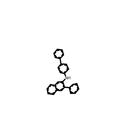 c1ccc(-c2ccc(Nc3cc4ccccc4cc3-c3ccccc3)cc2)cc1